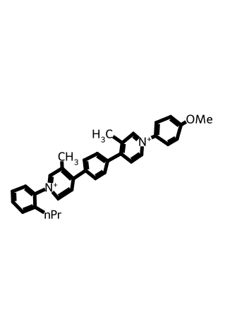 CCCc1ccccc1-[n+]1ccc(-c2ccc(-c3cc[n+](-c4ccc(OC)cc4)cc3C)cc2)c(C)c1